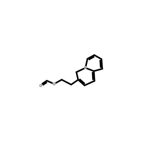 O=COCCC1=CC=C2C=CC=CN2C1